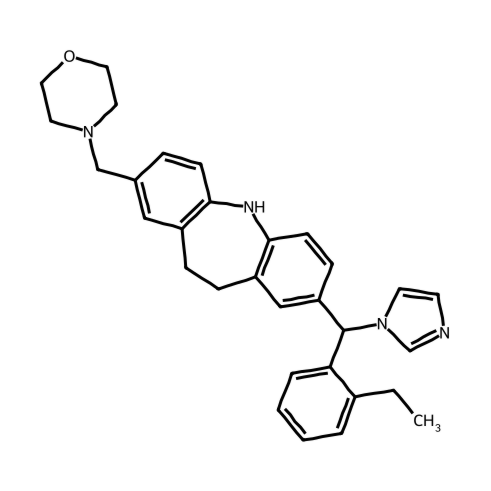 CCc1ccccc1C(c1ccc2c(c1)CCc1cc(CN3CCOCC3)ccc1N2)n1ccnc1